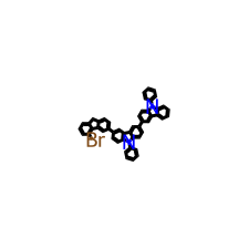 Brc1cccc2c1-c1cc(-c3ccc4c(c3)c3cc(-c5ccc6c(c5)c5ccccc5n6-c5ccccc5)ccc3n4-c3ccccc3)ccc1C2